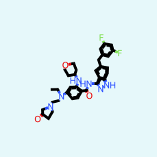 CCN(CCN1CCC(=O)C1)c1ccc(C(=O)Nc2n[nH]c3ccc(Cc4cc(F)cc(F)c4)cc23)c(NC2CCOCC2)c1